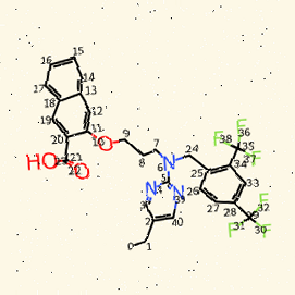 CCc1cnc(N(CCCOc2cc3ccccc3cc2C(=O)O)Cc2ccc(C(F)(F)F)cc2C(F)(F)F)nc1